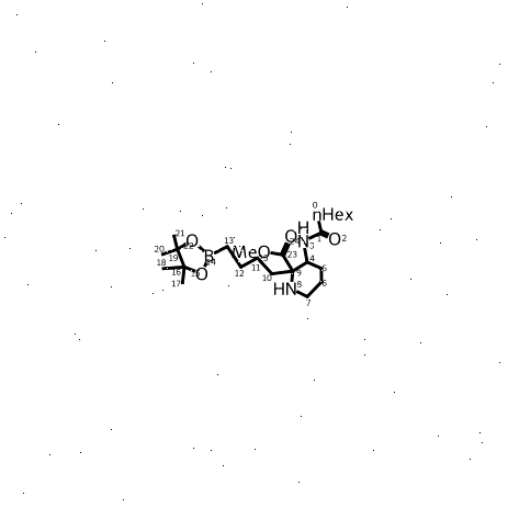 CCCCCCC(=O)NC1CCCNC1(CCCCB1OC(C)(C)C(C)(C)O1)C(=O)OC